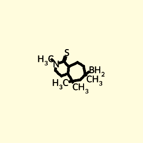 BC1(C)CCC2C(=S)N(C)CCC2C(C)(C)C1